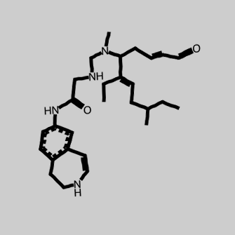 CC/C(=C\CC(C)CC)C(CC=CC=O)N(C)CNCC(=O)Nc1ccc2c(c1)C=CNCC2